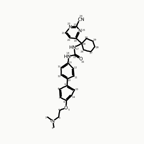 CN(C)CCOc1ccc(-c2ccc(NC(=O)NC3(c4ccnc(C#N)n4)CCCCC3)cc2)cc1